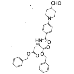 O=CC1CCN(c2ccc(C(=O)N[C@@H](CC(=O)OCc3ccccc3)C(=O)OCc3ccccc3)cc2)CC1